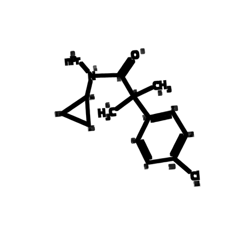 CCCN(C(=O)C(C)(C)c1ccc(Cl)cc1)C1CC1